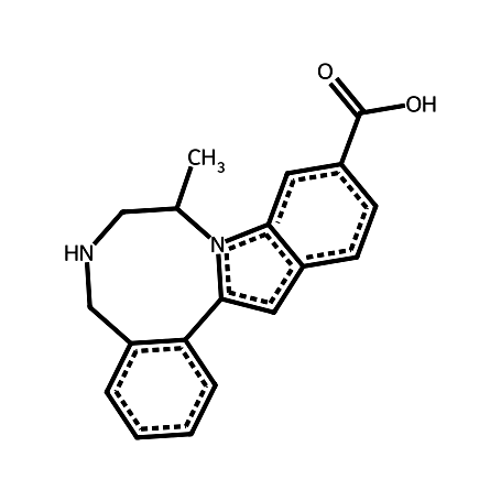 CC1CNCc2ccccc2-c2cc3ccc(C(=O)O)cc3n21